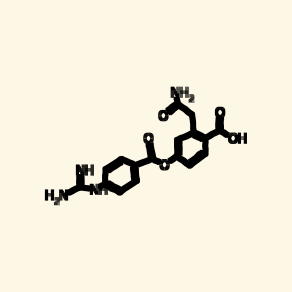 N=C(N)Nc1ccc(C(=O)Oc2ccc(C(=O)O)c(CC(N)=O)c2)cc1